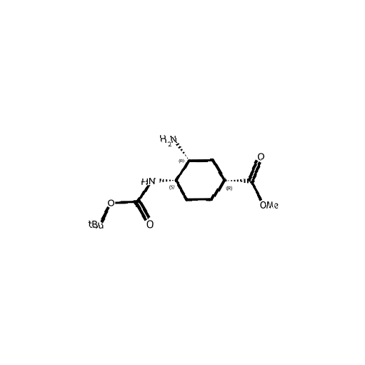 COC(=O)[C@@H]1CC[C@H](NC(=O)OC(C)(C)C)[C@H](N)C1